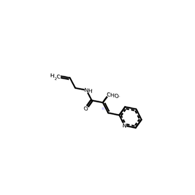 C=CCNC(=O)/C([C]=O)=C/c1ccccn1